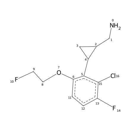 NCC1CC1c1c(OCCF)ccc(F)c1Cl